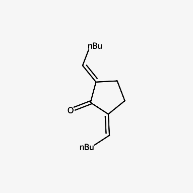 CCCCC=C1CCC(=CCCCC)C1=O